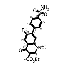 CCOC(=O)c1cn(CC)c2cc(-c3ccc(S(N)(=O)=O)cc3)c(F)cc2c1=O